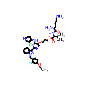 CCOc1cc(F)c(Cn2nc(-c3ncc(OCCCOC(=O)C(NC(=O)[C@@H](N)CCCCN)C(C)C)c(Nc4ccncc4Cl)n3)c3ccccc32)c(F)c1